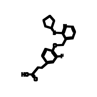 O=C(O)CCc1ccc(OCc2cccnc2SC2CCCC2)c(F)c1